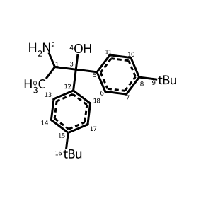 CC(N)C(O)(c1ccc(C(C)(C)C)cc1)c1ccc(C(C)(C)C)cc1